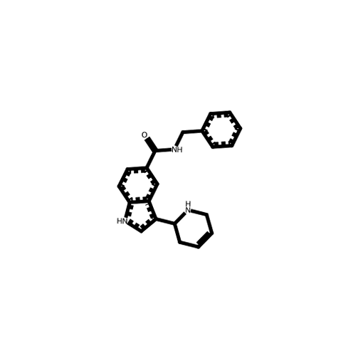 O=C(NCc1ccccc1)c1ccc2[nH]cc(C3CC=CCN3)c2c1